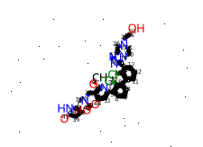 COc1nc(-c2cccc(-c3cccc(-c4nnc5n4CCN(CCO)C5)c3Cl)c2Cl)ccc1CN(C[C@@H]1CCC(=O)N1)C(=O)O